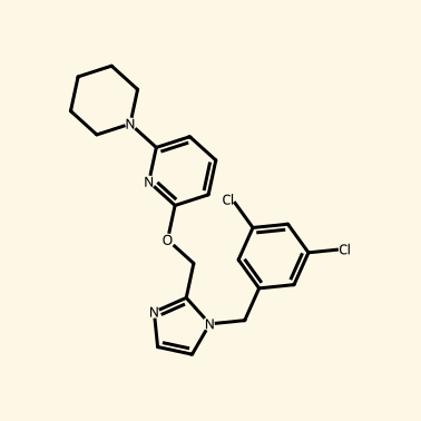 Clc1cc(Cl)cc(Cn2ccnc2COc2cccc(N3CCCCC3)n2)c1